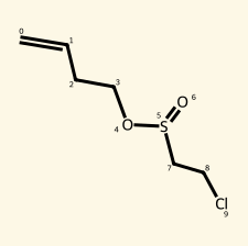 C=CCCOS(=O)CCCl